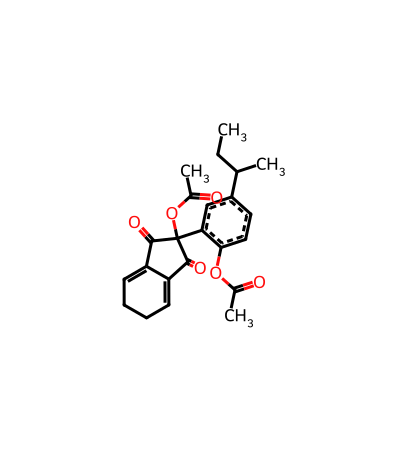 CCC(C)c1ccc(OC(C)=O)c(C2(OC(C)=O)C(=O)C3=CCCC=C3C2=O)c1